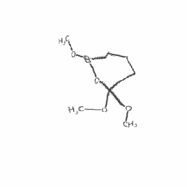 COB1CCCC(OC)(OC)O1